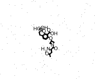 CC(=O)C[C@H](N)C(=O)N1CC(Oc2ccc3c(c2C(=O)O)O[B-](O)(O)CC3)C1